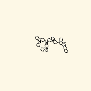 c1ccc(-n2c3ccccc3c3ccc(N(c4ccc5oc6ccccc6c5c4)c4ccc5oc6cc(-c7cc8c9cc%10ccccc%10cc9sc8c8ccccc78)ccc6c5c4)cc32)cc1